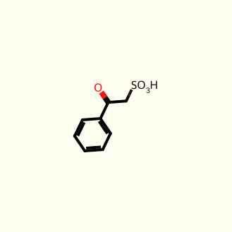 O=C(CS(=O)(=O)O)c1ccccc1